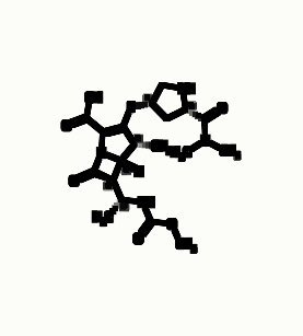 COC(=O)N[C@H](C)[C@H]1C(=O)N2C(C(=O)O)=C(S[C@@H]3CN[C@H](C(=O)N(C)C)C3)[C@H](C)[C@H]12